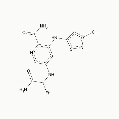 CCC(Nc1cnc(C(N)=O)c(Nc2cc(C)ns2)c1)C(N)=O